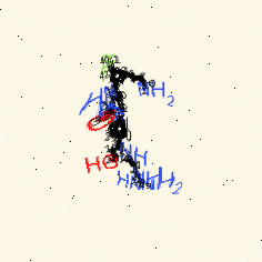 C[C@H](N)CCCc1cc(-c2cc3cn(-c4ccc([C@H](CCO)NCCCNC(=N)N)cc4)c(=O)nc3[nH]2)cc(C(F)(F)F)c1